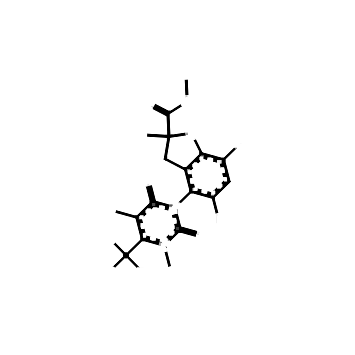 COC(=O)C1(C)Cc2c(c(Br)cc(F)c2-n2c(=O)c(C)c(C(F)(F)F)n(C)c2=O)O1